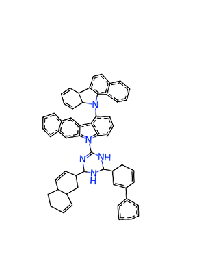 C1=CC2c3ccc4ccccc4c3N(c3cccc4c3c3cc5ccccc5cc3n4C3=NC(C4C=CC5CCC=CC5C4)NC(C4C=C(c5ccccc5)C=CC4)N3)C2C=C1